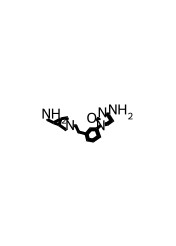 NCC1C2CN(CCc3cccc(-n4ccc(N)nc4=O)c3)CC12